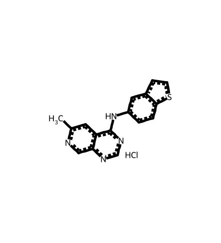 Cc1cc2c(Nc3ccc4sccc4c3)ncnc2cn1.Cl